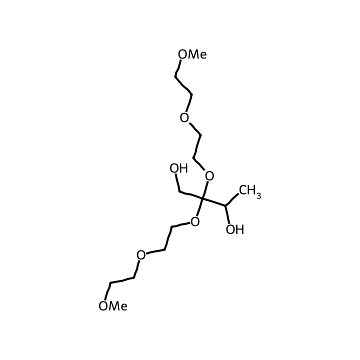 COCCOCCOC(CO)(OCCOCCOC)C(C)O